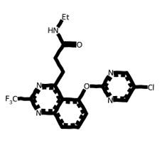 CCNC(=O)CCc1nc(C(F)(F)F)nc2cccc(Oc3ncc(Cl)cn3)c12